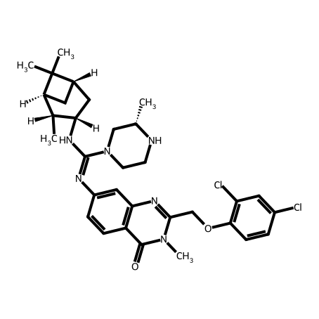 C[C@H]1[C@@H](NC(=Nc2ccc3c(=O)n(C)c(COc4ccc(Cl)cc4Cl)nc3c2)N2CCN[C@@H](C)C2)C[C@@H]2C[C@@H]1C2(C)C